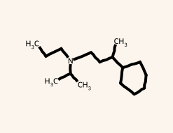 CCCN(CCC(C)C1CCCCC1)C(C)C